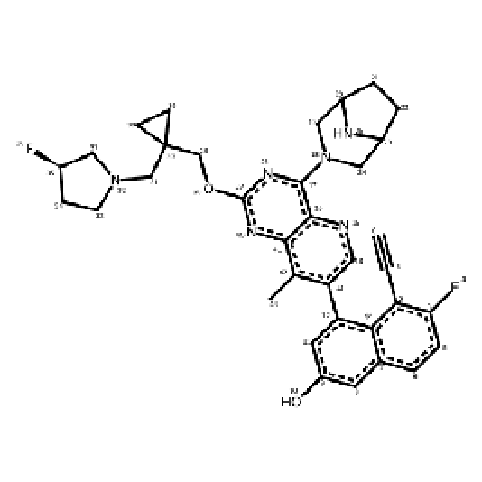 C#Cc1c(F)ccc2cc(O)cc(-c3cnc4c(N5CC6CCC(C5)N6)nc(OCC5(CN6CC[C@@H](F)C6)CC5)nc4c3C)c12